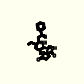 CCC(=O)C(CC(=S)c1ccccc1)N[C@H](C(=O)[C@@]1(C(=O)O)CCC(=O)N1)C(C)C